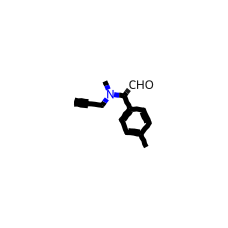 C#CCN(C)C(C=O)c1ccc(C)cc1